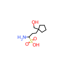 NC(CCC1(CO)CCCC1)S(=O)(=O)O